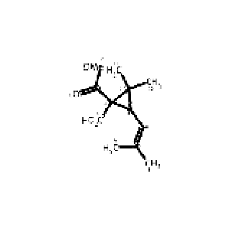 COC(=O)C1(C(=O)O)C(C=C(C)C)C1(C)C